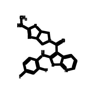 CNC1=NC2CN(C(=O)c3c(Nc4ccc(I)cc4F)sc4ncccc34)CC2S1